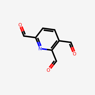 O=Cc1ccc(C=O)c(C=O)n1